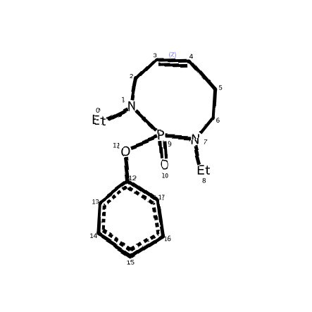 CCN1C/C=C\CCN(CC)P1(=O)Oc1ccccc1